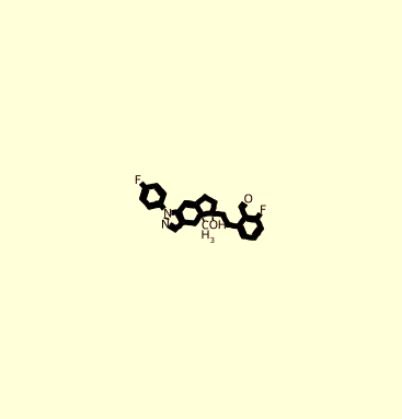 C[C@]12Cc3cnn(-c4ccc(F)cc4)c3C=C1CC[C@@]2(O)CCc1cccc(F)c1C=O